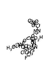 Cc1c(Cl)c2c(Cl)c(C)c1-c1c(-c3ccc(F)cc3)sc3ncnc(c13)O[C@@H](C(=O)O)c1cc(ccc1OCc1ccnc(-c3cccc(S(=O)(=O)N4CCOCC4)c3)n1)OC[C@@H](CN1CCN(C)CC1)O2